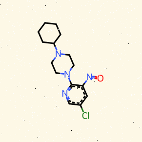 O=Nc1cc(Cl)cnc1N1CCN(C2CCCCC2)CC1